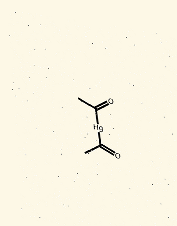 C[C](=O)[Hg][C](C)=O